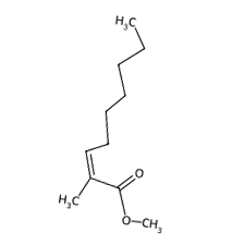 CCCCCCC=C(C)C(=O)OC